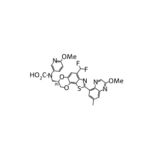 COc1ccc(N(C[C@@H]2COc3c(cc(C(F)F)c4nc(-c5cc(C)cc6nc(OC)cnc56)sc34)O2)C(=O)O)cn1